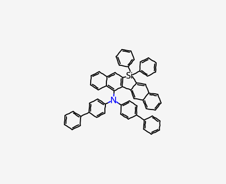 c1ccc(-c2ccc(N(c3ccc(-c4ccccc4)cc3)c3c4c(cc5ccccc35)[Si](c3ccccc3)(c3ccccc3)c3cc5ccccc5cc3-4)cc2)cc1